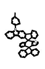 Cc1ccc(-n2c3ccccc3c3cc4c(cc32)-c2ccccc2C42c3ccccc3C3(c4ccccc4-c4ccccc43)c3ccccc32)cc1